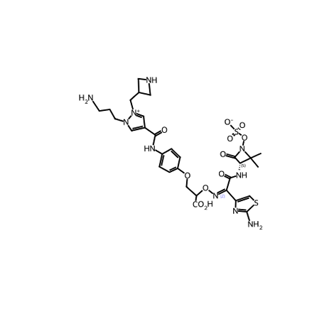 CC1(C)[C@H](NC(=O)/C(=N\OC(COc2ccc(NC(=O)c3cn(CCCN)[n+](CC4CNC4)c3)cc2)C(=O)O)c2csc(N)n2)C(=O)N1OS(=O)(=O)[O-]